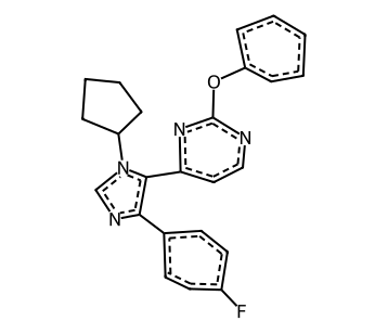 Fc1ccc(-c2ncn(C3CCCC3)c2-c2ccnc(Oc3ccccc3)n2)cc1